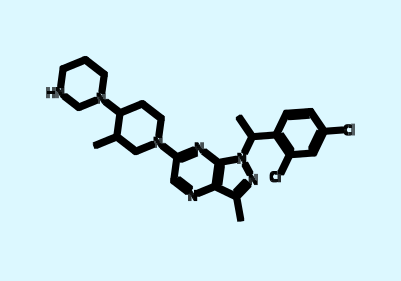 Cc1nn(C(C)c2ccc(Cl)cc2Cl)c2nc(N3CCC(N4CCCNC4)C(C)C3)cnc12